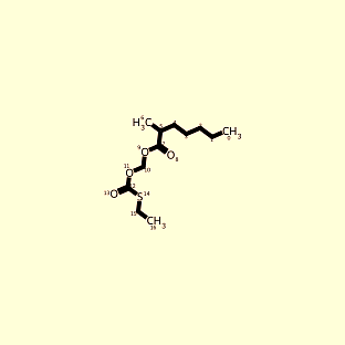 CCCCCC(C)C(=O)OCOC(=O)SCC